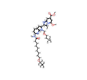 COC(=O)c1cc(OC)n2c(C)c(-c3cc4ccc(N(C)C(=O)CCCCCCCCO[Si](C)(C)C(C)(C)C)nc4n3COCC[Si](C)(C)C)nc2c1